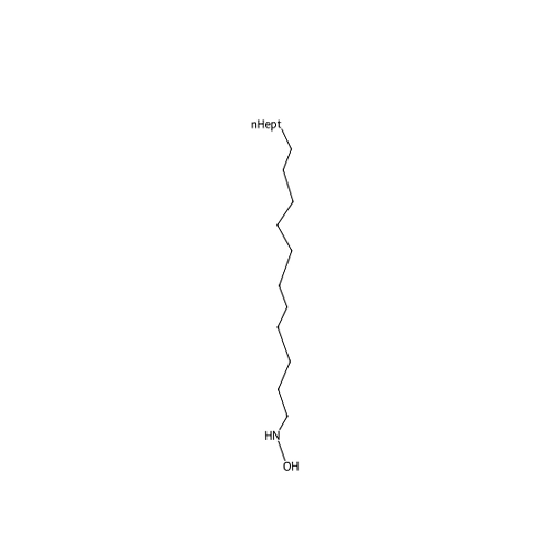 CCCCCCCCCCCCCCCCCCNO